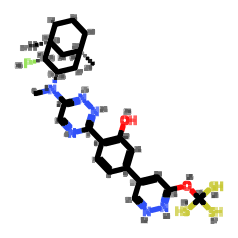 CN(c1cnc(-c2ccc(-c3cnnc(OC(S)(S)S)c3)cc2O)nn1)[C@H]1C[C@]2(C)CCC[C@@H](C2)[C@H]1F